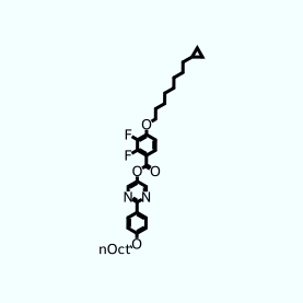 CCCCCCCCOc1ccc(-c2ncc(OC(=O)c3ccc(OCCCCCCCCC4CC4)c(F)c3F)cn2)cc1